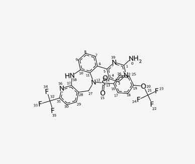 Nc1nccc(-c2cccc3c2N(S(=O)(=O)c2ccc(OC(F)(F)F)cc2)Cc2ccc(C(F)(F)F)nc2N3)n1